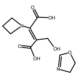 C1=NCCO1.O=C(O)C(CO)=C(C(=O)O)N1CCC1